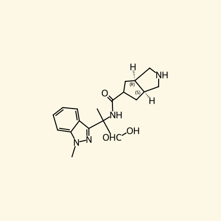 Cn1nc(C(C)(C)NC(=O)C2C[C@H]3CNC[C@H]3C2)c2ccccc21.O=CO